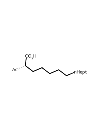 CCCCCCCCCCCC[C@H](C(C)=O)C(=O)O